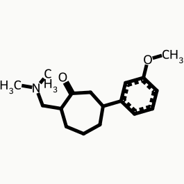 COc1cccc(C2CCCC(CN(C)C)C(=O)C2)c1